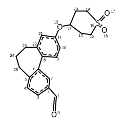 O=Cc1ccc2c(c1)-c1ccc(OC3CCS(=O)(=O)CC3)cc1CCC2